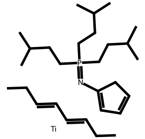 CC(C)CCP(CCC(C)C)(CCC(C)C)=NC1=CC=CC1.CCC=CC=CCC.[Ti]